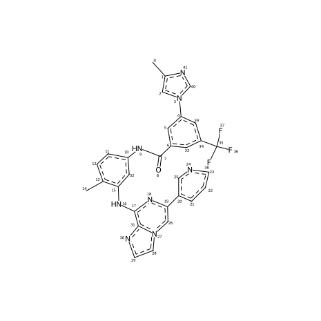 Cc1cn(-c2cc(C(=O)Nc3ccc(C)c(Nc4nc(-c5cccnc5)cn5ccnc45)c3)cc(C(F)(F)F)c2)cn1